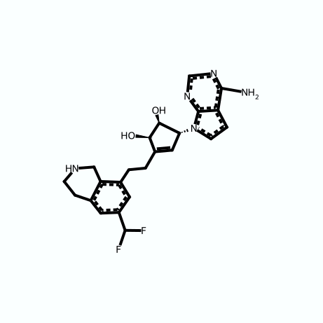 Nc1ncnc2c1ccn2[C@@H]1C=C(CCc2cc(C(F)F)cc3c2CNCC3)[C@@H](O)[C@H]1O